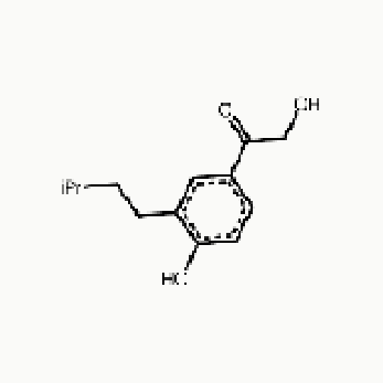 CC(C)CCc1cc(C(=O)CO)ccc1O